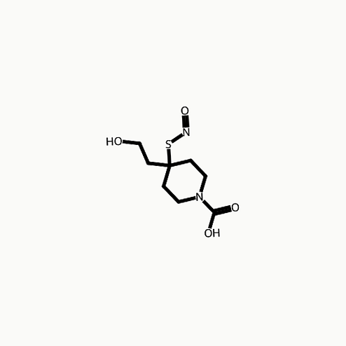 O=NSC1(CCO)CCN(C(=O)O)CC1